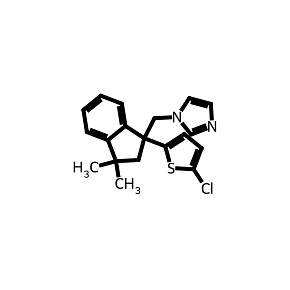 CC1(C)CC(Cn2ccnc2)(c2ccc(Cl)s2)c2ccccc21